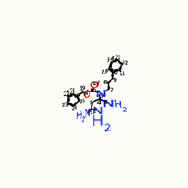 NC(N)CC(N)N(CCCc1ccccc1)C(=O)OCc1ccccc1